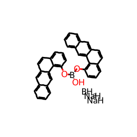 B.OB(Oc1cccc2ccc3cc4ccccc4cc3c12)Oc1cccc2ccc3cc4ccccc4cc3c12.[NaH].[NaH]